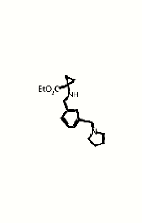 CCOC(=O)C1(NCc2cccc(CN3CCCC3)c2)CC1